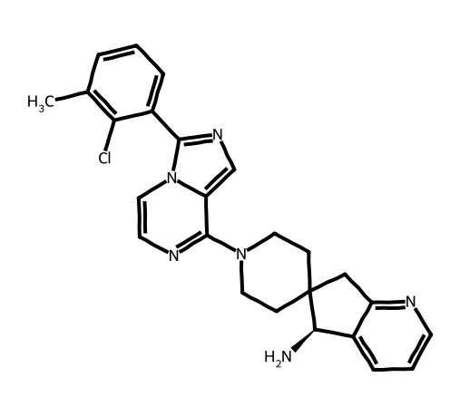 Cc1cccc(-c2ncc3c(N4CCC5(CC4)Cc4ncccc4[C@H]5N)nccn23)c1Cl